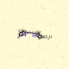 C[N+]1=C(/C=C/C=C/C=C/C=C2\Nc3ccc(S(=O)(=O)O)cc3C2(C)C)C(C)(C)c2c(I)cc(I)cc21